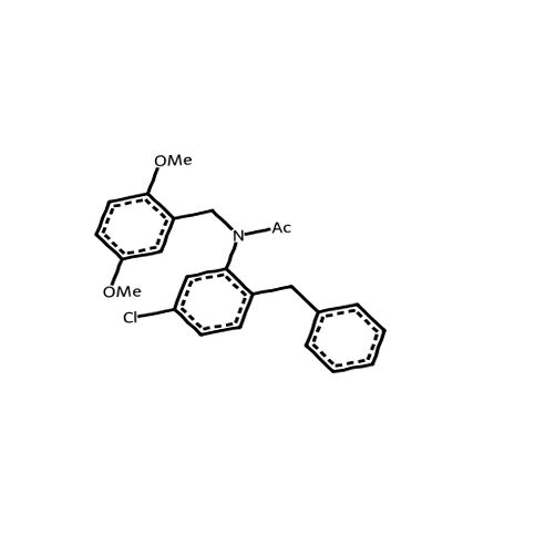 COc1ccc(OC)c(CN(C(C)=O)c2cc(Cl)ccc2Cc2ccccc2)c1